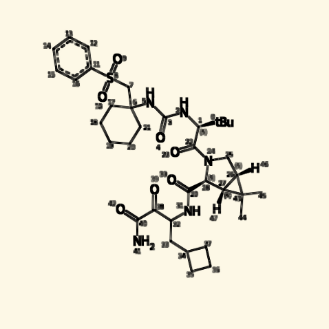 CC(C)(C)[C@H](NC(=O)NC1(CS(=O)(=O)c2ccccc2)CCCCC1)C(=O)N1C[C@H]2[C@@H]([C@H]1C(=O)NC(CC1CCC1)C(=O)C(N)=O)C2(C)C